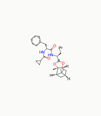 CC(C)C[C@H](NC(=O)[C@H](Cc1ccccc1)NC(=O)C1CC1)B1O[C@@H]2C[C@@H]3C[C@@H](C3(C)C)[C@]2(C)O1